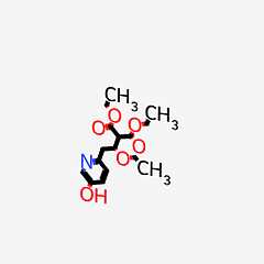 CCOC(=O)C(C(=O)OCC)C(Cc1ccc(O)cn1)OCC